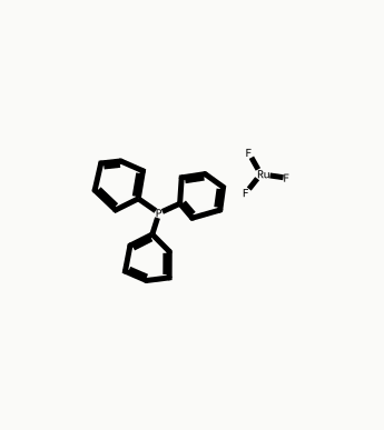 [F][Ru]([F])[F].c1ccc(P(c2ccccc2)c2ccccc2)cc1